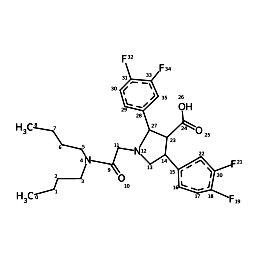 CCCCN(CCCC)C(=O)CN1CC(c2ccc(F)c(F)c2)C(C(=O)O)C1c1ccc(F)c(F)c1